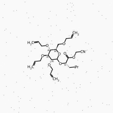 C=CCOC[C@H]1OC(O[C@@H](CC(C)C)C(=O)OCC#N)[C@H](OCC=C)[C@@H](OCC=C)[C@@H]1OCC=C